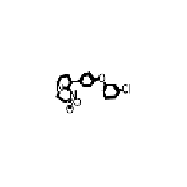 O=S1(=O)CCN2CCC[C@@H](c3ccc(Oc4cccc(Cl)c4)cc3)C2=N1